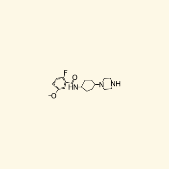 COc1ccc(F)c(C(=O)NC2CCC(N3CCNCC3)CC2)c1